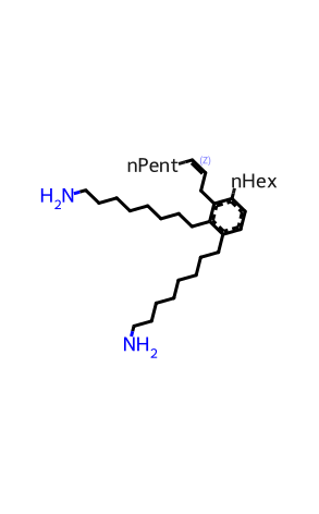 CCCCC/C=C\Cc1c(CCCCCC)ccc(CCCCCCCCN)c1CCCCCCCCN